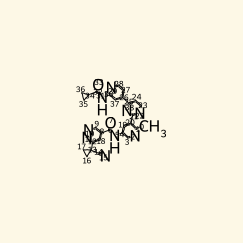 Cc1ncc(NC(=O)c2cnnc(C3(C#N)CC3)c2)cc1-c1nccc(-c2ccnc(NC(=O)C3CC3)c2)n1